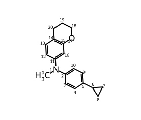 CN(c1ccc(C2CC2)cc1)c1ccc2c(c1)OCCC2